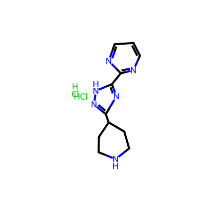 Cl.Cl.c1cnc(-c2nc(C3CCNCC3)n[nH]2)nc1